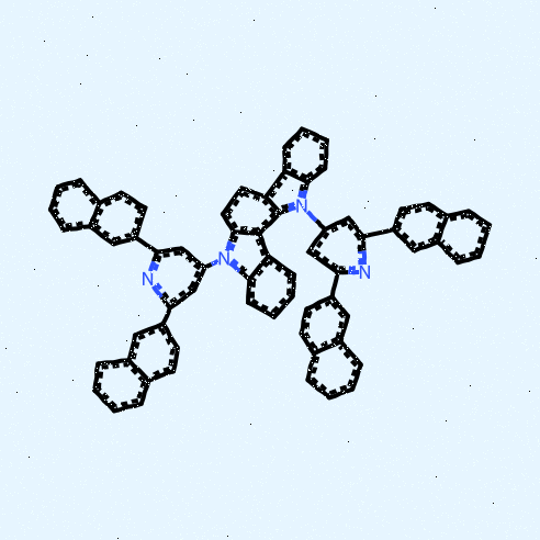 c1ccc2cc(-c3cc(-n4c5ccccc5c5c4ccc4c6ccccc6n(-c6cc(-c7ccc8ccccc8c7)nc(-c7ccc8ccccc8c7)c6)c45)cc(-c4ccc5ccccc5c4)n3)ccc2c1